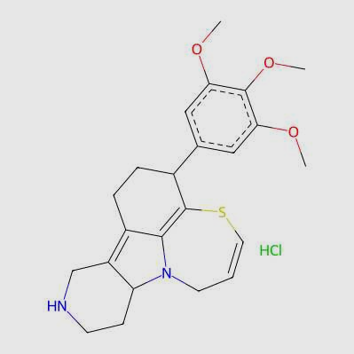 COc1cc(C2CCC3=C4CNCCC4N4CC=CSC2=C34)cc(OC)c1OC.Cl